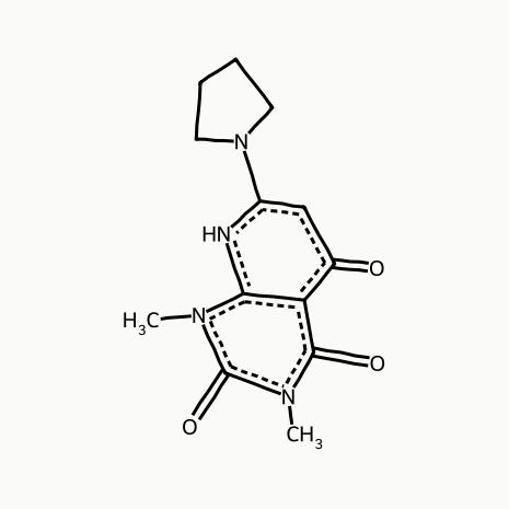 Cn1c(=O)c2c(=O)cc(N3CCCC3)[nH]c2n(C)c1=O